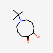 CC(C)(C)N1CCCC(=O)C(O)CCC1